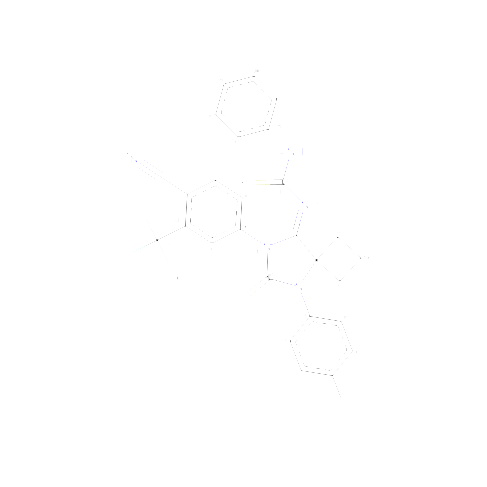 Cc1ccc(N2C(=S)N(c3ccc(C#N)c(C(F)(F)F)c3)/C(=N\C(=S)Nc3ccccc3)C23CCC3)cc1